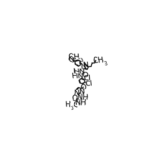 CCCCc1cc(NC(=O)Nc2ccc(Oc3ccnc(NC(=O)NC)n3)c(Cl)c2Cl)n(-c2ccc(OC)cc2)n1